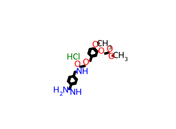 COC(=O)COc1cc(COCC(=O)NCc2ccc(C(=N)N)cc2)ccc1OC.Cl